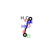 Cc1cccc2ncn(CC(=O)NCCCOc3cccc(Cl)c3)c(=O)c12